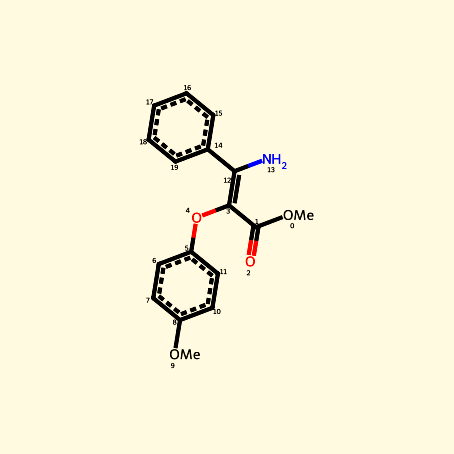 COC(=O)/C(Oc1ccc(OC)cc1)=C(\N)c1ccccc1